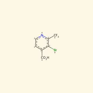 O=C(O)c1ccnc(C(F)(F)F)c1Br